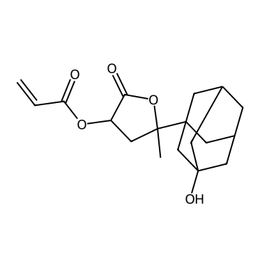 C=CC(=O)OC1CC(C)(C23CC4CC(CC(O)(C4)C2)C3)OC1=O